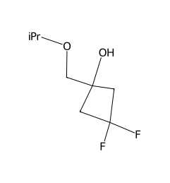 CC(C)OCC1(O)CC(F)(F)C1